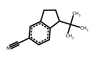 CC(C)(C)C1CCc2cc(C#N)ccc21